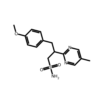 COc1ccc(CC(CS(N)(=O)=O)c2ncc(C)cn2)cc1